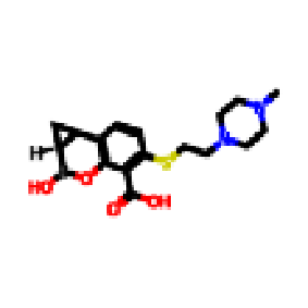 CN1CCN(CCSc2ccc3c(c2C(=O)O)OB(O)[C@H]2CC32)CC1